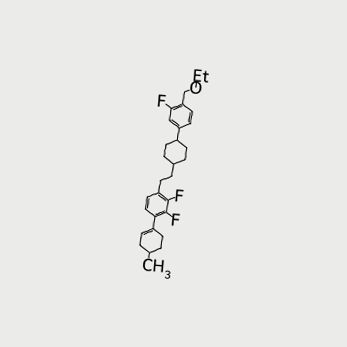 CCOCc1ccc(C2CCC(CCc3ccc(C4=CCC(C)CC4)c(F)c3F)CC2)cc1F